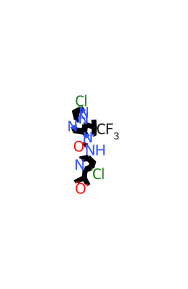 C[C@@]1(C(F)(F)F)CN(C(=O)Nc2cnc(C3COC3)c(Cl)c2)c2cnc3cc(Cl)nn3c21